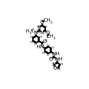 COc1cc(OC)nc(N(C)c2cccc(C(=O)Nc3ccc(NC(=O)Nc4ccon4)cc3)c2)n1